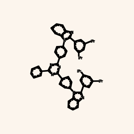 CC(C)c1cc(-c2nc3ccccc3n2-c2ccc(-c3nc(-c4ccccc4)nc(-c4ccc(-n5c(-c6cc(C(C)C)cc(C(C)C)c6)nc6ccccc65)cc4)n3)cc2)cc(C(C)C)c1